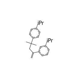 C=C(CC(C)(C)c1ccc(C(C)C)cc1)c1cccc(C(C)C)c1